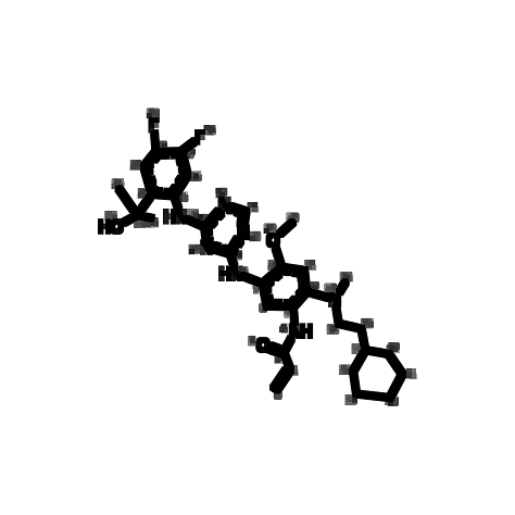 C=CC(=O)Nc1cc(Nc2ncnc(Nc3cc(F)c(F)cc3C(C)(C)O)n2)c(OC)cc1N(C)CCC1CCCCC1